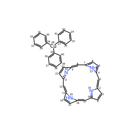 C1=Cc2cc3ccc(cc4nc(cc5ccc(cc1n2)[nH]5)C=C4)[nH]3.c1cc[c]([Cu]([c]2ccccc2)[c]2ccccc2)cc1